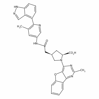 Cc1nc(N2C[C@@H](CC(=O)Nc3cnc(-c4cccc5[nH]ncc45)c(C)c3)C[C@H]2C(=O)O)c2oc3ccccc3c2n1